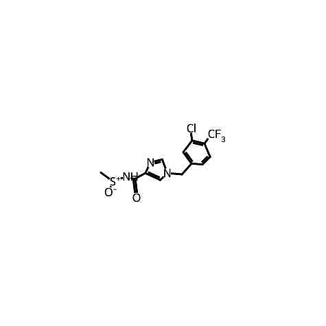 C[S+]([O-])NC(=O)c1cn(Cc2ccc(C(F)(F)F)c(Cl)c2)cn1